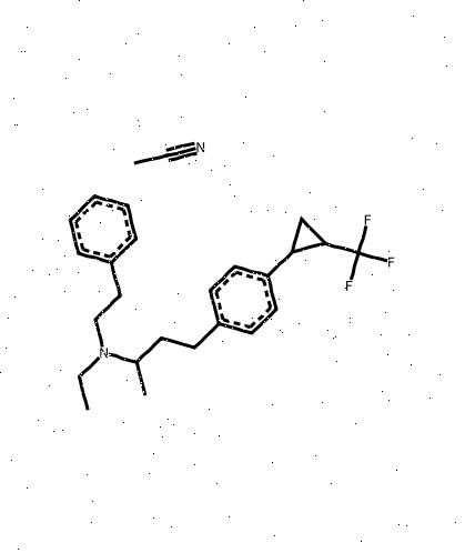 CC#N.CCN(CCc1ccccc1)C(C)CCc1ccc(C2CC2C(F)(F)F)cc1